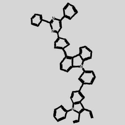 C=Cc1c(C=C)n(-c2ccccc2)c2ccc(-c3cccc(-n4c5ccccc5c5c(-c6ccc(-c7cc(-c8ccccc8)nc(-c8ccccc8)n7)cc6)cccc54)c3)cc12